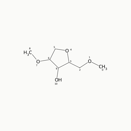 COCC1OCC(OC)C1O